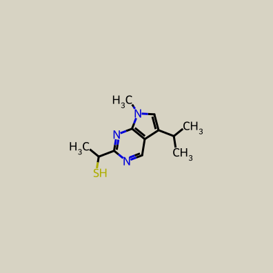 CC(C)c1cn(C)c2nc(C(C)S)ncc12